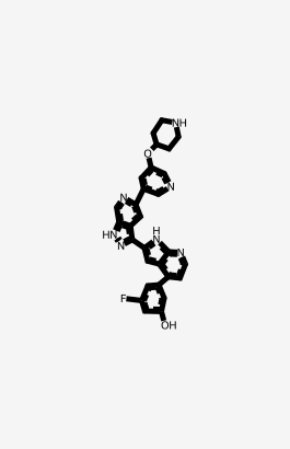 Oc1cc(F)cc(-c2ccnc3[nH]c(-c4n[nH]c5cnc(-c6cncc(OC7CCNCC7)c6)cc45)cc23)c1